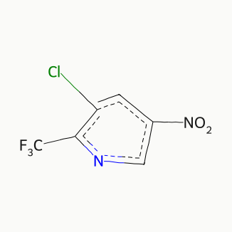 O=[N+]([O-])c1cnc(C(F)(F)F)c(Cl)c1